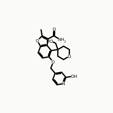 Cc1oc2ccc(OCc3ccnc(O)c3)c(C3(CO)CCOCC3)c2c1C(N)=O